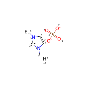 CCN1[C+]N(C)C=C1.O=S(=O)([O-])[O-].[H+]